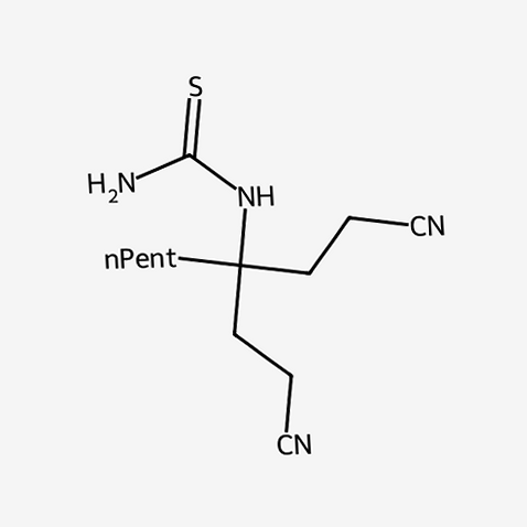 CCCCCC(CCC#N)(CCC#N)NC(N)=S